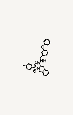 Cc1ccc(S(=O)(=O)N2Cc3ccccc3CC2C(=O)NCc2cccc(Oc3ccccc3)c2)cc1